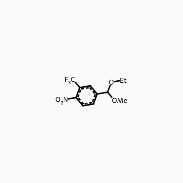 CCOC(OC)c1ccc([N+](=O)[O-])c(C(F)(F)F)c1